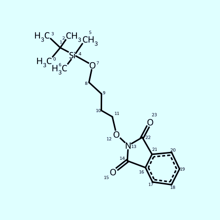 CC(C)(C)[Si](C)(C)OCCCCON1C(=O)c2ccccc2C1=O